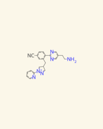 N#Cc1ccc(-c2ncc(CCN)cn2)c(CC2C=N[N+](c3ccccn3)=C2)c1